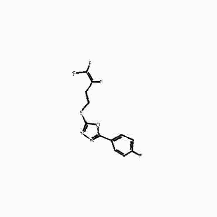 FC(F)=C(F)CCSc1nnc(-c2ccc(F)cc2)o1